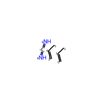 C=CC.C=CC.N=C=N